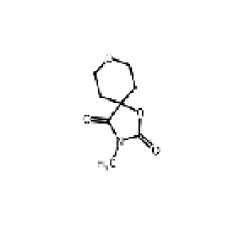 CN1C(=O)OC2(CCOCC2)C1=O